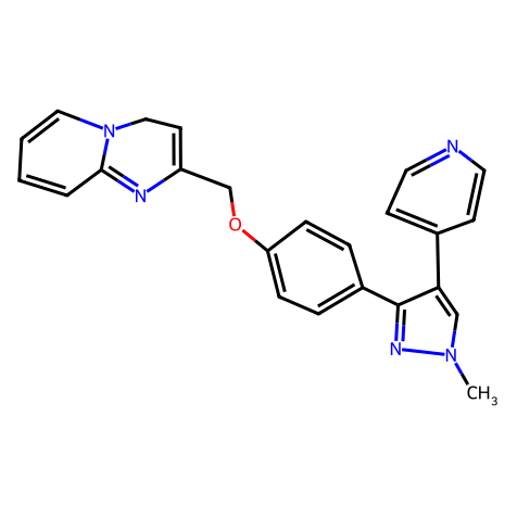 Cn1cc(-c2ccncc2)c(-c2ccc(OCC3=CCN4C=CC=CC4=N3)cc2)n1